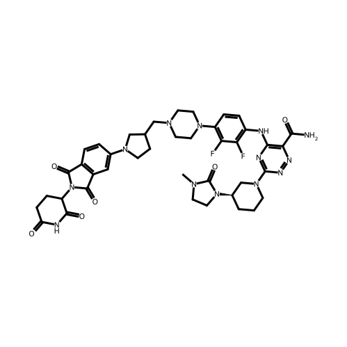 CN1CCN([C@@H]2CCCN(c3nnc(C(N)=O)c(Nc4ccc(N5CCN(CC6CCN(c7ccc8c(c7)C(=O)N(C7CCC(=O)NC7=O)C8=O)C6)CC5)c(F)c4F)n3)C2)C1=O